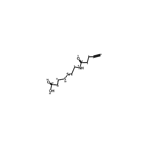 C#CCCC(=O)NCCSSCCC(=O)O